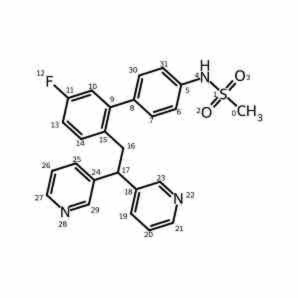 CS(=O)(=O)Nc1ccc(-c2cc(F)ccc2CC(c2cccnc2)c2cccnc2)cc1